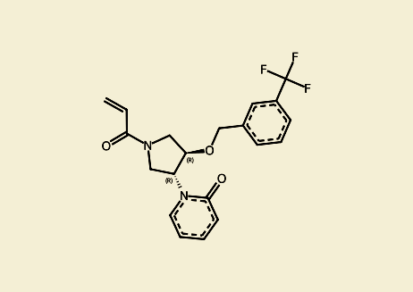 C=CC(=O)N1C[C@@H](n2ccccc2=O)[C@H](OCc2cccc(C(F)(F)F)c2)C1